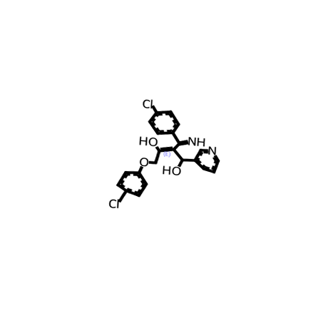 N=C(/C(=C(\O)COc1ccc(Cl)cc1)C(O)c1cccnc1)c1ccc(Cl)cc1